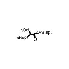 CCCCCCCCC(CCCCCCC)C(=O)OCCCCCCC